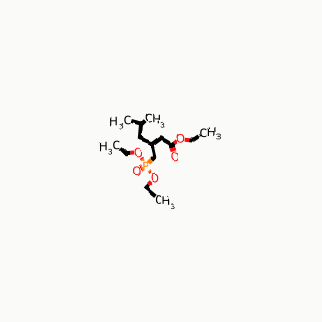 CCOC(=O)CC(CC(C)C)CP(=O)(OCC)OCC